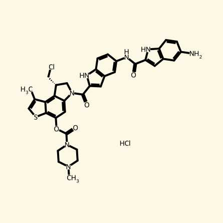 Cc1csc2c(OC(=O)N3CCN(C)CC3)cc3c(c12)[C@H](CCl)CN3C(=O)c1cc2cc(NC(=O)c3cc4cc(N)ccc4[nH]3)ccc2[nH]1.Cl